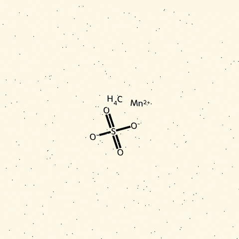 C.O=S(=O)([O-])[O-].[Mn+2]